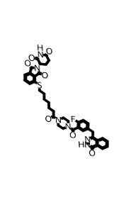 O=C1CCC(N2C(=O)c3cccc(SCCCCCCC(=O)N4CCN(C(=O)c5cc(Cc6n[nH]c(=O)c7ccccc67)ccc5F)CC4)c3C2=O)C(=O)N1